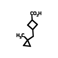 CC1(CC2CC(C(=O)O)C2)CC1